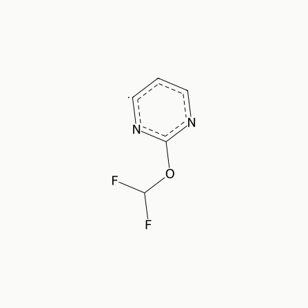 FC(F)Oc1n[c]ccn1